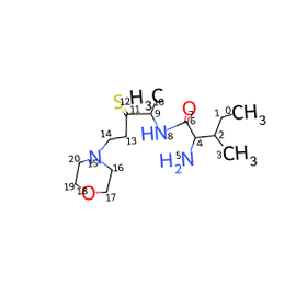 CCC(C)C(N)C(=O)NC(C)C(=S)CCN1CCOCC1